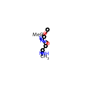 COc1c(OCc2ccccc2)ccc2c(N3CCOc4ccc(-c5ccc6nc(C)[nH]c6c5)cc4C3)ncnc12